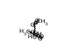 CCCNC[C@@H](NC(=O)CCCCCC(=O)c1ccc(OC)cc1)[C@H](O)c1ccc2c(c1)OCCO2